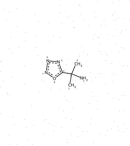 CC(C)(N)c1nnno1